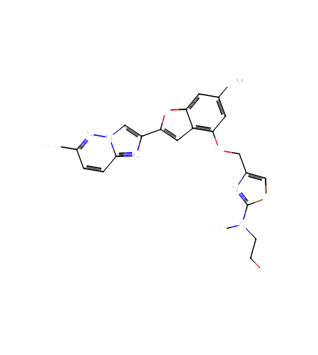 COc1cc(OCc2csc(N(C)CCO)n2)c2cc(-c3cn4nc(C)ccc4n3)oc2c1